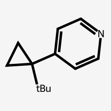 CC(C)(C)C1(c2ccncc2)CC1